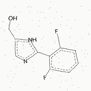 OCc1cnc(-c2c(F)cccc2F)[nH]1